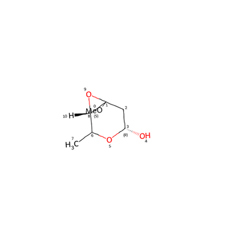 COC12C[C@H](O)OC(C)[C@@H]1O2